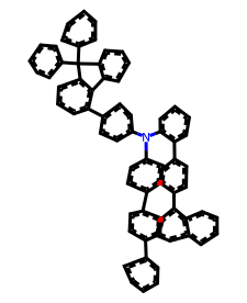 c1ccc(-c2ccc(-c3ccc(N(c4ccc(-c5cccc6c5-c5ccccc5C6(c5ccccc5)c5ccccc5)cc4)c4ccccc4-c4ccc(-c5cccc6ccccc56)cc4)cc3)cc2)cc1